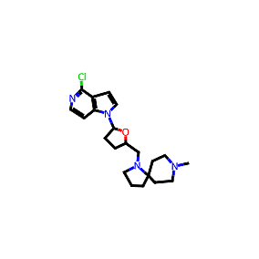 CN1CCC2(CCCN2CC2CCC(n3ccc4c(Cl)nccc43)O2)CC1